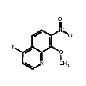 COc1c([N+](=O)[O-])ccc2c(F)ccnc12